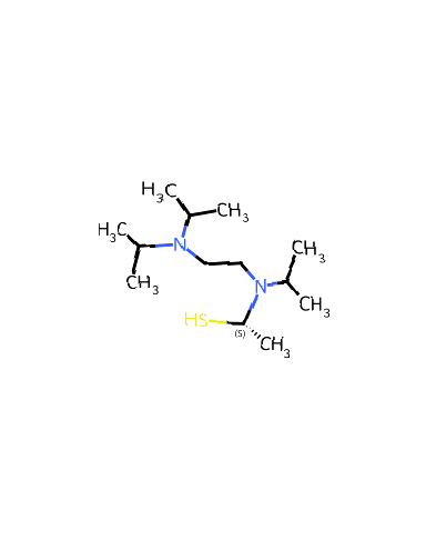 CC(C)N(CCN(C(C)C)[C@H](C)S)C(C)C